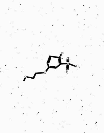 COCCOc1ccc(Cl)c(S(N)(=O)=O)c1